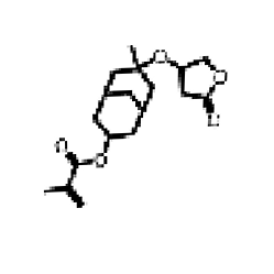 C=C(C)C(=O)OC1CC2CC(C1)CC(C)(OC1COC(=O)C1)C2